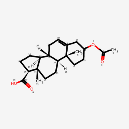 CC(=O)OC1CC[C@@]2(C)C(=CC[C@H]3[C@@H]4CC[C@H](C(=O)O)[C@@]4(C)CC[C@@H]32)C1